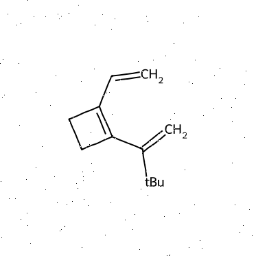 C=CC1=C(C(=C)C(C)(C)C)CC1